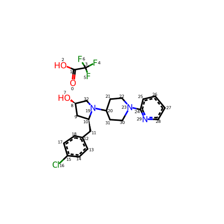 O=C(O)C(F)(F)F.O[C@@H]1C[C@H](Cc2ccc(Cl)cc2)N(C2CCN(c3ccccn3)CC2)C1